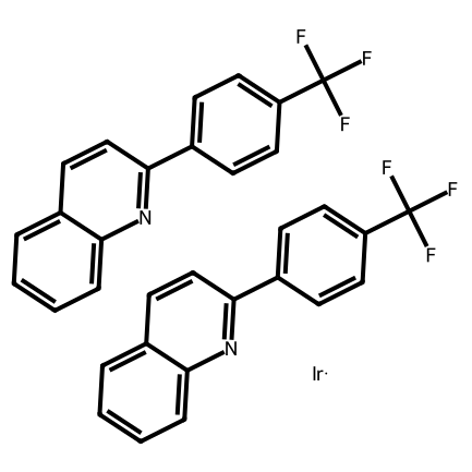 FC(F)(F)c1ccc(-c2ccc3ccccc3n2)cc1.FC(F)(F)c1ccc(-c2ccc3ccccc3n2)cc1.[Ir]